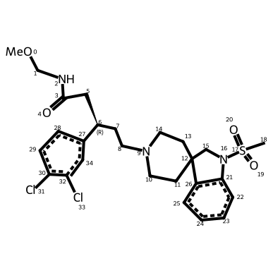 COCNC(=O)C[C@@H](CCN1CCC2(CC1)CN(S(C)(=O)=O)c1ccccc12)c1ccc(Cl)c(Cl)c1